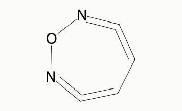 C1=CC=C=NON=1